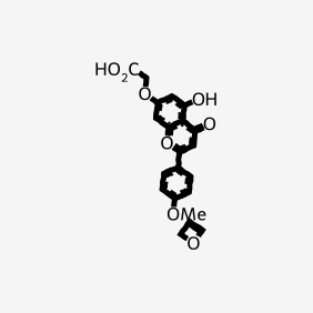 C1=COC1.COc1ccc(-c2cc(=O)c3c(O)cc(OCC(=O)O)cc3o2)cc1